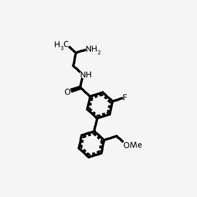 COCc1ccccc1-c1cc(F)cc(C(=O)NCC(C)N)c1